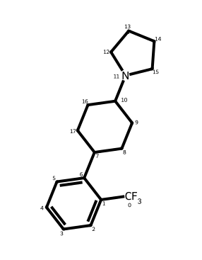 FC(F)(F)c1ccccc1C1CCC(N2C[CH]CC2)CC1